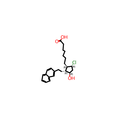 O=C(O)CCCCCC[C@@H]1[C@@H](CCc2ccc3ccccc3c2)[C@H](O)C[C@H]1Cl